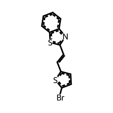 Brc1ccc(/C=C/c2nc3ccccc3s2)s1